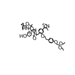 CCOC(COc1ccc(CCOc2cc(-c3scnc3C)ccc2CNC(=O)[C@@H]2C[C@@H](O)CN2C(=O)[C@@H](NC(=O)C2(F)CC2)C(C)(C)C)cc1)OCC